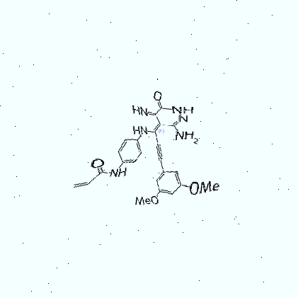 C=CC(=O)Nc1ccc(N/C(C#Cc2cc(OC)cc(OC)c2)=C2\C(=N)C(=O)NN=C2N)cc1